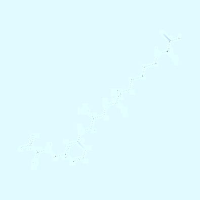 C=C(C)C(=O)OCCCCCNC(=O)OCC(O)COc1cccc(COC(=O)C(=C)C)c1